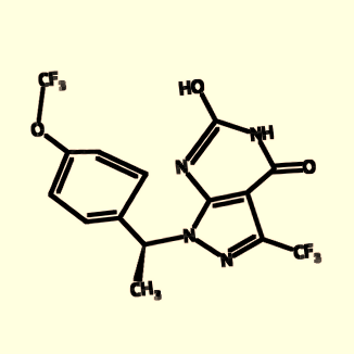 C[C@@H](c1ccc(OC(F)(F)F)cc1)n1nc(C(F)(F)F)c2c(=O)[nH]c(O)nc21